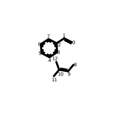 C=Cc1ccccc1.CC=C(C)C